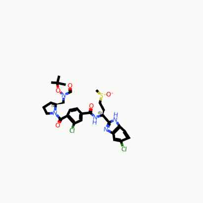 C[S+]([O-])CC[C@H](NC(=O)c1ccc(C(=O)N2CCC[C@H]2CN(C=O)OC(C)(C)C)c(Cl)c1)c1nc2cc(Cl)ccc2[nH]1